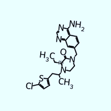 CC[C@H]1C(=O)N(Cc2ccc3c(N)ncnc3c2)CCN1C(C)Cc1ccc(Cl)s1